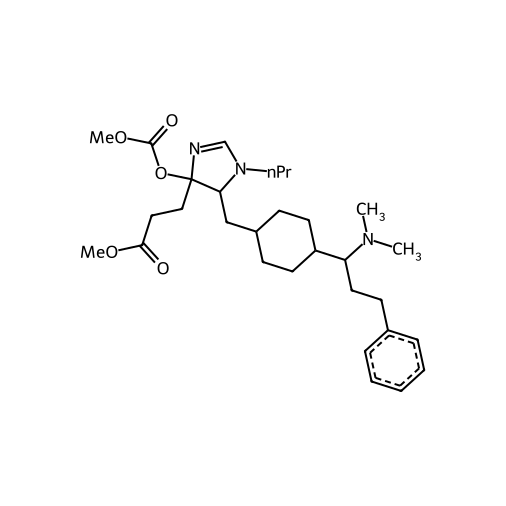 CCCN1C=NC(CCC(=O)OC)(OC(=O)OC)C1CC1CCC(C(CCc2ccccc2)N(C)C)CC1